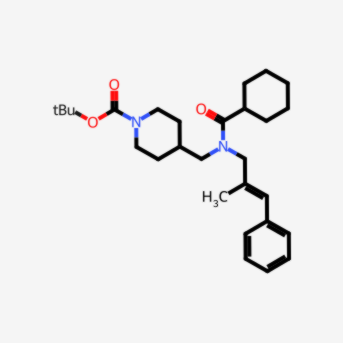 C/C(=C\c1ccccc1)CN(CC1CCN(C(=O)OC(C)(C)C)CC1)C(=O)C1CCCCC1